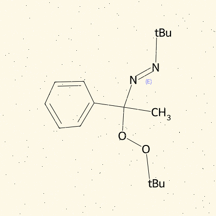 CC(C)(C)/N=N/C(C)(OOC(C)(C)C)c1ccccc1